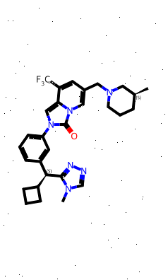 C[C@H]1CCCN(Cc2cc(C(F)(F)F)c3cn(-c4cccc([C@@H](c5nncn5C)C5CCC5)c4)c(=O)n3c2)C1